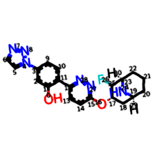 Oc1cc(-n2ccnn2)ccc1-c1ccc(O[C@H]2C[C@@H]3CCC[C@@H](N3)[C@@H]2F)nn1